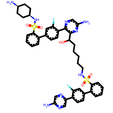 Nc1cnc(-c2ccc(-c3ccccc3S(=O)(=O)NCCCCCC(O)c3nc(N)cnc3-c3ccc(-c4ccccc4S(=O)(=O)N[C@H]4CC[C@@H](N)CC4)cc3F)cc2F)cn1